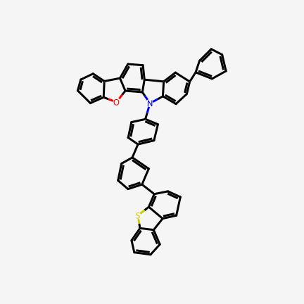 c1ccc(-c2ccc3c(c2)c2ccc4c5ccccc5oc4c2n3-c2ccc(-c3cccc(-c4cccc5c4sc4ccccc45)c3)cc2)cc1